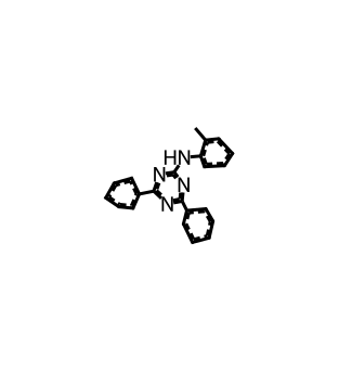 Cc1ccccc1Nc1nc(-c2ccccc2)nc(-c2ccccc2)n1